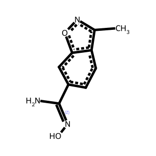 Cc1noc2cc(/C(N)=N/O)ccc12